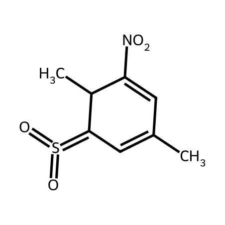 CC1=CC(=S(=O)=O)C(C)C([N+](=O)[O-])=C1